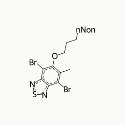 CCCCCCCCCCCCOc1c(C)c(Br)c2nsnc2c1Br